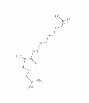 CC(C)CCCN(C)C(=O)CCCCCCCCN(C)C